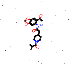 CC(=O)c1cc2c(cc1NC(=O)CC1CCN(C(=O)C(C)C)CC1)OCO2